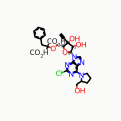 C#C[C@@]1(O)[C@@H](COC(Cc2ccccc2)(C(=O)O)C(=O)O)O[C@@H](n2cnc3c(N4CCCC4CO)nc(Cl)nc32)[C@@H]1O